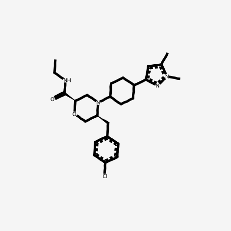 CCNC(=O)[C@H]1CN(C2CCC(c3cc(C)n(C)n3)CC2)[C@@H](Cc2ccc(Cl)cc2)CO1